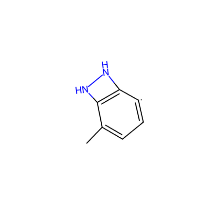 Cc1cc[c]c2[nH][nH]c12